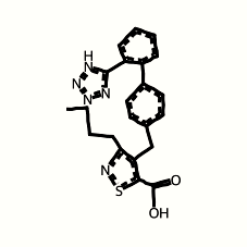 CCCCc1nsc(C(=O)O)c1Cc1ccc(-c2ccccc2-c2nnn[nH]2)cc1